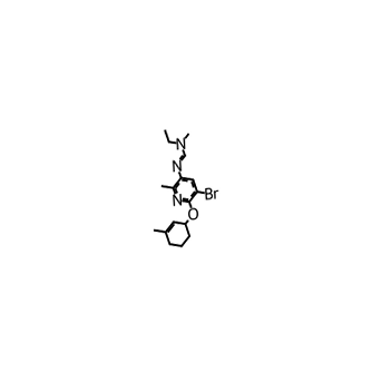 CCN(C)/C=N/c1cc(Br)c(OC2C=C(C)CCC2)nc1C